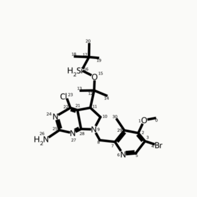 COc1c(Br)cnc(CN2CC(C(C)(C)O[SiH2]C(C)(C)C)c3c(Cl)nc(N)nc32)c1C